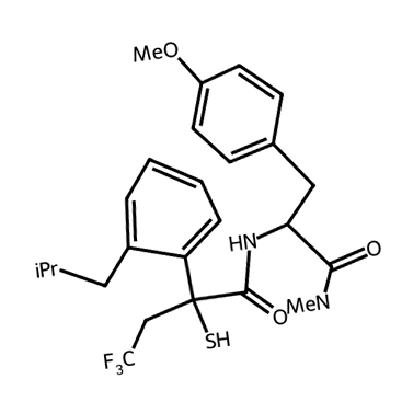 CNC(=O)C(Cc1ccc(OC)cc1)NC(=O)C(S)(CC(F)(F)F)c1ccccc1CC(C)C